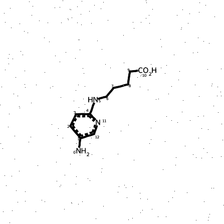 Nc1ccc(NCCCCC(=O)O)nc1